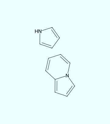 c1cc[nH]c1.c1ccn2cccc2c1